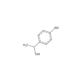 CC([TeH])c1ccc(N=O)cc1